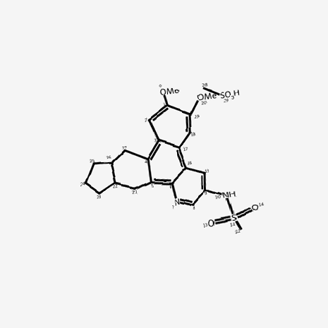 COc1cc2c3c(c4ncc(NS(C)(=O)=O)cc4c2cc1OC)CC1CCCC1C3.CS(=O)(=O)O